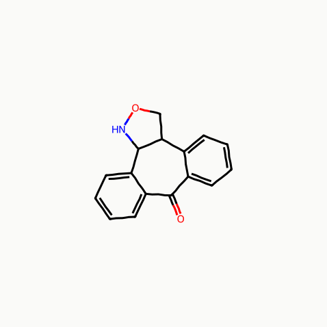 O=C1c2ccccc2C2CONC2c2ccccc21